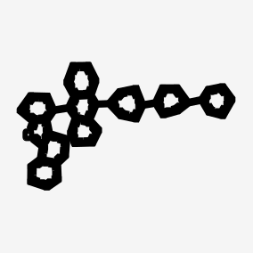 c1ccc(-c2ccc(-c3ccc(-c4c5ccccc5c(-c5cccc6oc7c8ccccc8ccc7c56)c5ccccc45)cc3)cc2)cc1